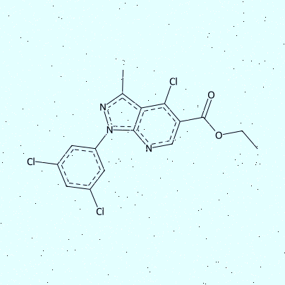 CCOC(=O)c1cnc2c(c(C)nn2-c2cc(Cl)cc(Cl)c2)c1Cl